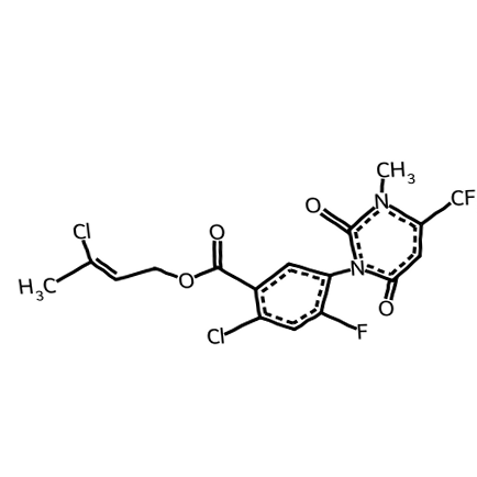 CC(Cl)=CCOC(=O)c1cc(-n2c(=O)cc(C(F)(F)F)n(C)c2=O)c(F)cc1Cl